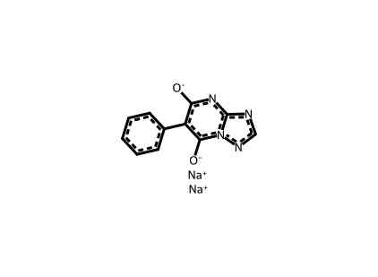 [Na+].[Na+].[O-]c1nc2ncnn2c([O-])c1-c1ccccc1